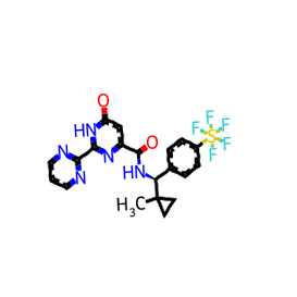 CC1([C@@H](NC(=O)c2cc(=O)[nH]c(-c3ncccn3)n2)c2ccc(S(F)(F)(F)(F)F)cc2)CC1